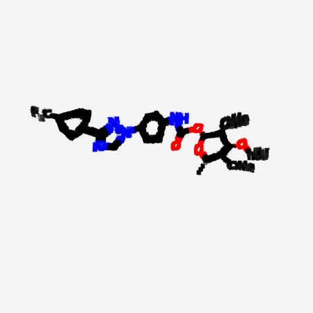 CCCCO[C@@H]1[C@@H](OC)[C@H](C)O[C@H](OC(=O)Nc2ccc(-n3cnc(-c4ccc(C(F)(F)F)cc4)n3)cc2)[C@@H]1OC